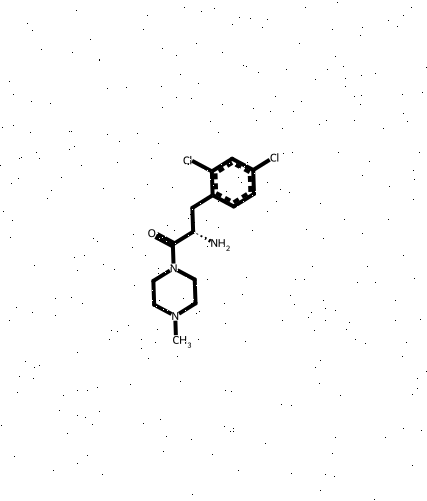 CN1CCN(C(=O)[C@@H](N)Cc2ccc(Cl)cc2Cl)CC1